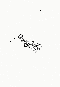 CC(C)(CO)CNC(=O)c1cn2c(NC(=O)CC34CC5CC(CC(C5)C3)C4)cccc2n1